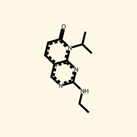 CCNc1ncc2ccc(=O)n(C(C)C)c2n1